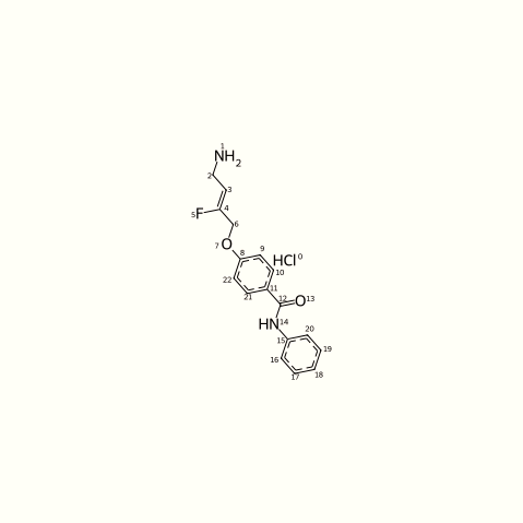 Cl.NC/C=C(\F)COc1ccc(C(=O)Nc2ccccc2)cc1